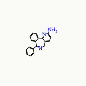 Nc1ccc2c(n1)-c1ccccc1C(c1ccccc1)=NC2